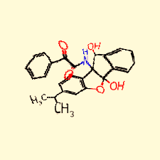 CC(C)c1ccc2c(c1)OC1(O)c3ccccc3C(O)C21NC(=O)C(=O)c1ccccc1